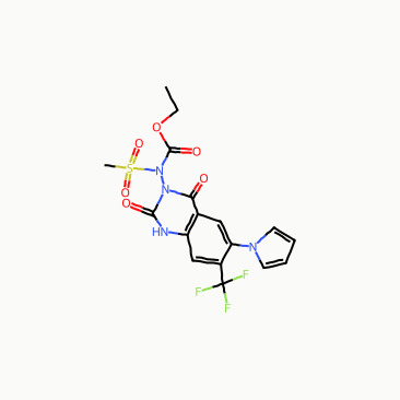 CCOC(=O)N(n1c(=O)[nH]c2cc(C(F)(F)F)c(-n3cccc3)cc2c1=O)S(C)(=O)=O